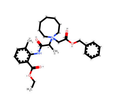 CCOC(=O)c1cccc(C)c1NC(=O)C(C)[N+]1(CC(=O)OCc2ccccc2)CCCCCCC1